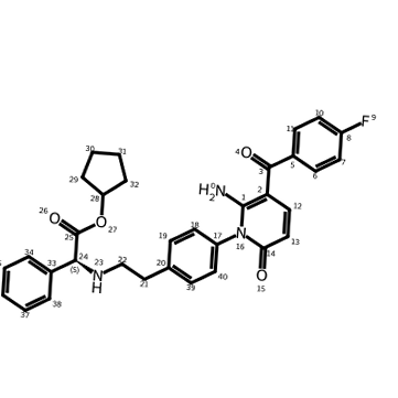 Nc1c(C(=O)c2ccc(F)cc2)ccc(=O)n1-c1ccc(CCN[C@H](C(=O)OC2CCCC2)c2ccccc2)cc1